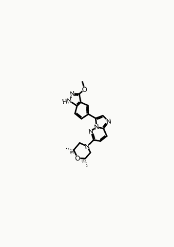 COc1n[nH]c2ccc(-c3cnc4ccc(N5C[C@@H](C)O[C@@H](C)C5)nn34)cc12